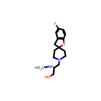 O=C(O)NC(CO)CN1CCC2(CC1)Cc1cc(F)ccc1O2